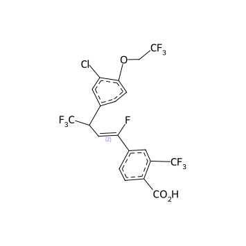 O=C(O)c1ccc(/C(F)=C/C(c2ccc(OCC(F)(F)F)c(Cl)c2)C(F)(F)F)cc1C(F)(F)F